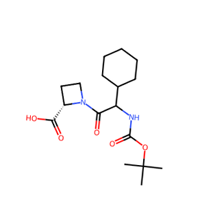 CC(C)(C)OC(=O)NC(C(=O)N1CC[C@H]1C(=O)O)C1CCCCC1